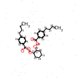 CCCCc1ccc(C(=O)OO[C]2CCC[CH]C2OOC(=O)c2ccc(CCCC)cc2)cc1